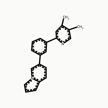 Cc1cnc(-c2cccc(-c3ccc4cccn4c3)c2)cc1C